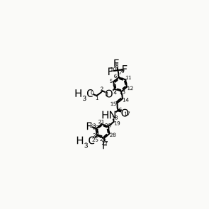 CCCOc1cc(C(F)(F)F)ccc1/C=C/C(=O)NCc1cc(F)c(C)c(F)c1